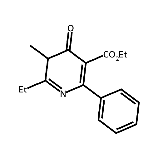 CCOC(=O)C1=C(c2ccccc2)N=C(CC)C(C)C1=O